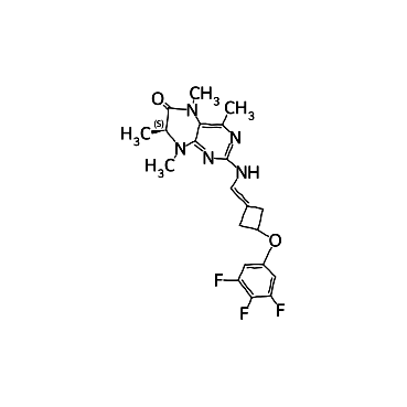 Cc1nc(NC=C2CC(Oc3cc(F)c(F)c(F)c3)C2)nc2c1N(C)C(=O)[C@H](C)N2C